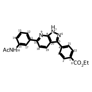 CCOC(=O)c1ccc(-c2n[nH]c3nc(-c4cccc(NC(C)=O)c4)ccc23)cc1